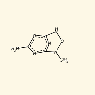 Nc1nc2nc(n1)N([SiH3])ON2